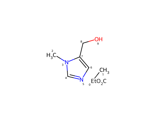 CCOC(C)=O.Cn1cncc1CO